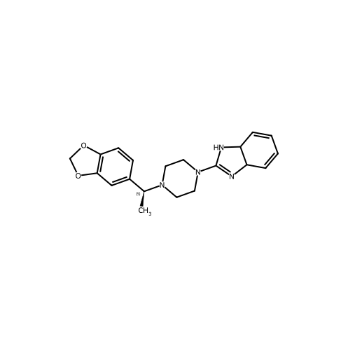 C[C@@H](c1ccc2c(c1)OCO2)N1CCN(C2=NC3C=CC=CC3N2)CC1